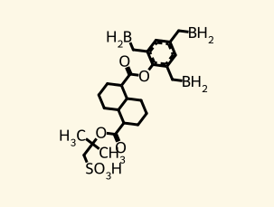 BCc1cc(CB)c(OC(=O)C2CCCC3C(C(=O)OC(C)(C)CS(=O)(=O)O)CCCC23)c(CB)c1